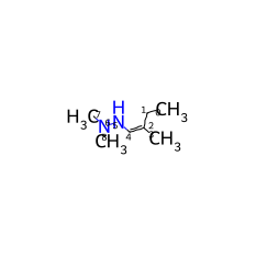 CC/C(C)=C\NN(C)C